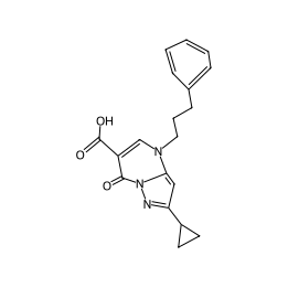 O=C(O)c1cn(CCCc2ccccc2)c2cc(C3CC3)nn2c1=O